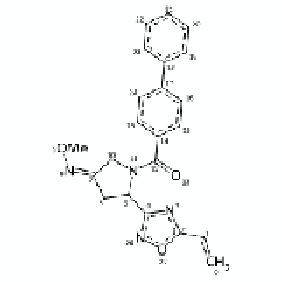 C=Cc1nc(C2CC(=NOC)CN2C(=O)c2ccc(-c3ccccc3)cc2)no1